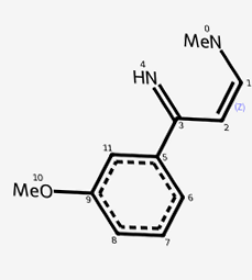 CN/C=C\C(=N)c1cccc(OC)c1